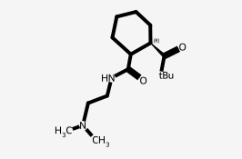 CN(C)CCNC(=O)C1CCCC[C@H]1C(=O)C(C)(C)C